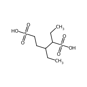 CC[C](CCS(=O)(=O)O)C(CC)S(=O)(=O)O